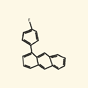 Fc1ccc(-c2cccc3cc4ccccc4cc23)cc1